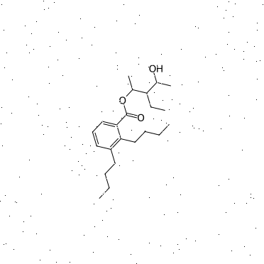 CCCCc1cccc(C(=O)OC(C)C(CC)C(C)O)c1CCCC